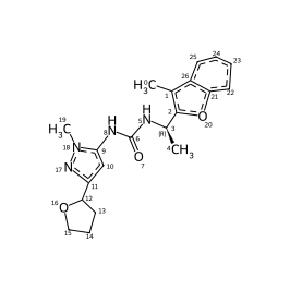 Cc1c([C@@H](C)NC(=O)Nc2cc(C3CCCO3)nn2C)oc2ccccc12